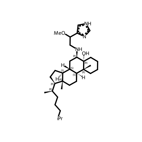 COC(CN[C@@H]1C[C@H]2[C@@H]3CC[C@H]([C@H](C)CCCC(C)C)[C@@]3(C)CC[C@@H]2[C@@]2(C)CCCC[C@]12O)c1c[nH]cn1